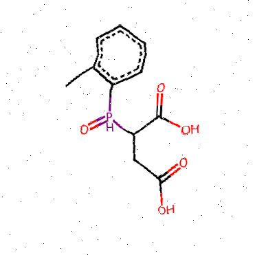 Cc1ccccc1[PH](=O)C(CC(=O)O)C(=O)O